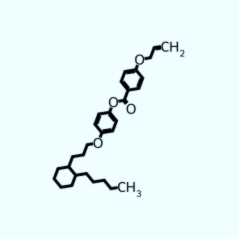 C=CCOc1ccc(C(=O)Oc2ccc(OCCCC3CCCCC3CCCCC)cc2)cc1